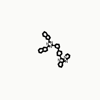 c1cc(-c2ccc(-c3nc4ccccc4c4nc5ccccn5c34)cc2)cc(-c2nc(-c3ccc4ccccc4c3)nc(-c3ccc4ccccc4c3)n2)c1